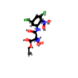 CCOC(=O)C(=NO)C(=O)Nc1cc(Cl)cc(Cl)c1[N+](=O)[O-]